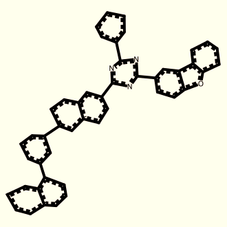 c1ccc(-c2nc(-c3ccc4cc(-c5cccc(-c6cccc7ccccc67)c5)ccc4c3)nc(-c3ccc4oc5ccccc5c4c3)n2)cc1